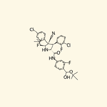 CC(C)(C)C[C@@H]1N[C@@H](C(=O)Nc2ccc(C(O)OC(C)(C)C)c(F)c2)[C@H](c2cccc(Cl)c2F)[C@@]1(C#N)c1ccc(Cl)cc1F